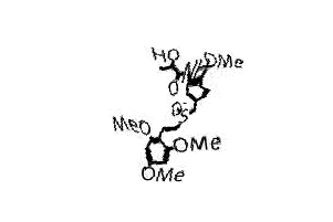 COc1cc(OC)c(/C=C/[S+]([O-])Cc2ccc(OC)c(NC(=O)C(C)O)c2)c(OC)c1